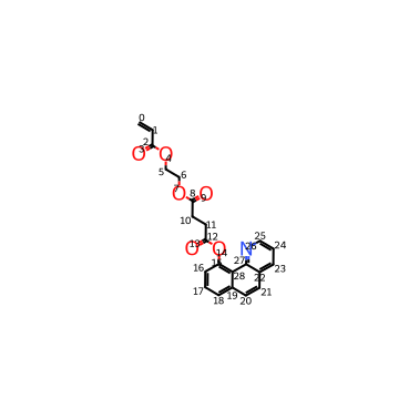 C=CC(=O)OCCOC(=O)CCC(=O)Oc1cccc2ccc3cccnc3c12